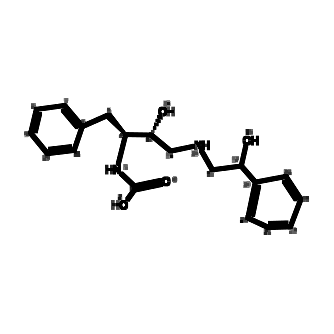 O=C(O)N[C@@H](Cc1ccccc1)[C@H](O)CNCC(O)c1ccccc1